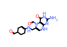 Nc1nc2c(c(=O)[nH]1)N(C=O)C(CNC1=CCC([C]=O)CC1)=CN2